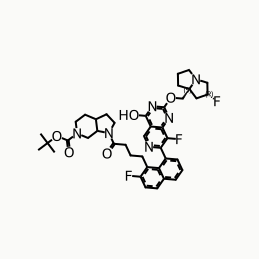 CC(C)(C)OC(=O)N1CCC2CCN(C(=O)CCCc3c(F)ccc4cccc(-c5ncc6c(O)nc(OC[C@@]78CCCN7C[C@H](F)C8)nc6c5F)c34)C2C1